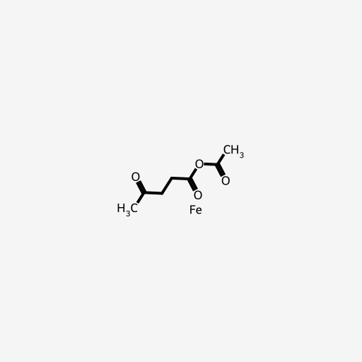 CC(=O)CCC(=O)OC(C)=O.[Fe]